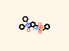 O=C(NS(=O)(=O)Cc1ccccc1)c1ccc2c(c1)c(=O)n(-c1ccccc1)n2C1CCCCC1